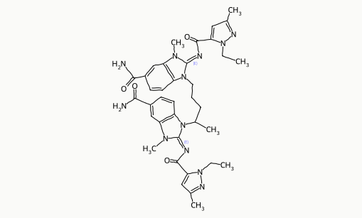 CCn1nc(C)cc1C(=O)/N=c1\n(C)c2cc(C(N)=O)ccc2n1CCCC(C)n1/c(=N/C(=O)c2cc(C)nn2CC)n(C)c2cc(C(N)=O)ccc21